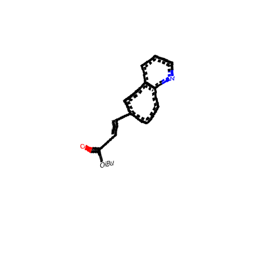 CC(C)COC(=O)/C=C/c1ccc2ncccc2c1